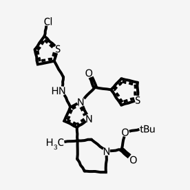 CC(C)(C)OC(=O)N1CCCC(C)(c2cc(NCc3ccc(Cl)s3)n(C(=O)c3ccsc3)n2)C1